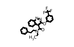 CCN(CCc1ccccc1)C(=O)c1c(Oc2cccc(C(F)(F)F)c2)nnc2ccccc12